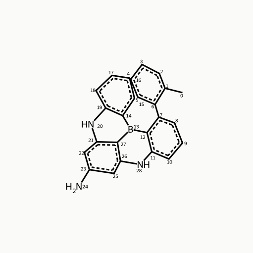 Cc1ccccc1-c1cccc2c1B1c3ccccc3Nc3cc(N)cc(c31)N2